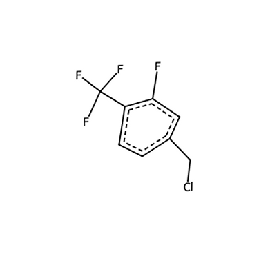 Fc1cc(CCl)ccc1C(F)(F)F